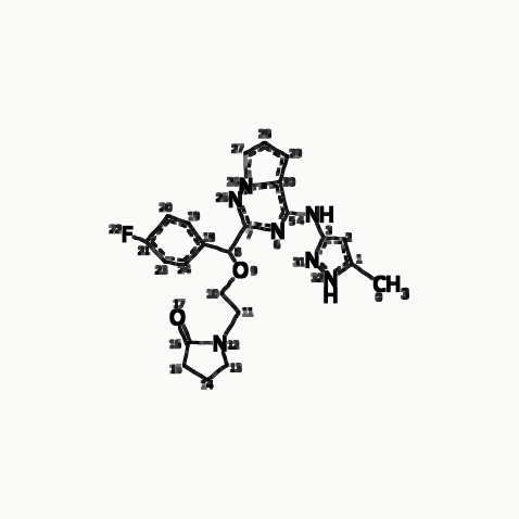 Cc1cc(Nc2nc(C(OCCN3CCCC3=O)c3ccc(F)cc3)nn3cccc23)n[nH]1